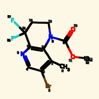 Cc1c(Br)cnc2c1N(C(=O)OC(C)(C)C)CCC2(F)F